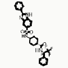 O=C(N[C@@H](c1ccccc1)C(F)(F)F)[C@H]1CC[C@H](NS(=O)(=O)c2ccc3[nH]c(-c4ccccc4)nc3c2)CC1